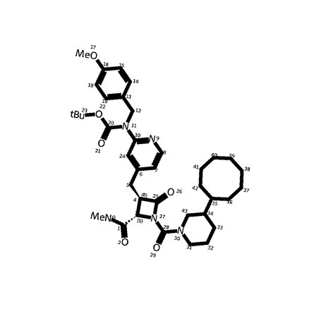 CNC(=O)[C@@H]1[C@@H](Cc2ccnc(N(Cc3ccc(OC)cc3)C(=O)OC(C)(C)C)c2)C(=O)N1C(=O)N1CCCC(C2CCCCCCC2)C1